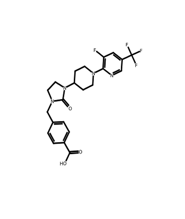 O=C(O)c1ccc(CN2CCN(C3CCN(c4ncc(C(F)(F)F)cc4F)CC3)C2=O)cc1